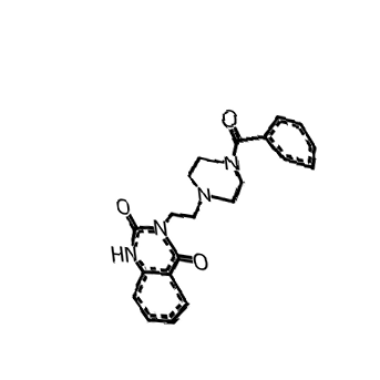 O=C(c1ccccc1)N1CCN(CCn2c(=O)[nH]c3ccccc3c2=O)CC1